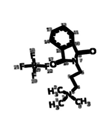 C[N+](C)(C)CCCN1C(=O)c2ccccc2C1=O.F[B-](F)(F)F